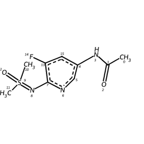 CC(=O)Nc1cnc(N=S(C)(C)=O)c(F)c1